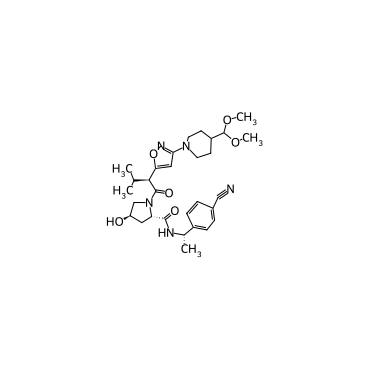 COC(OC)C1CCN(c2cc([C@@H](C(=O)N3C[C@H](O)C[C@H]3C(=O)N[C@@H](C)c3ccc(C#N)cc3)C(C)C)on2)CC1